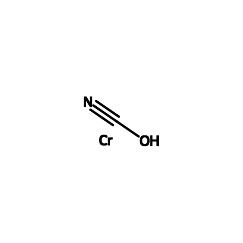 N#CO.[Cr]